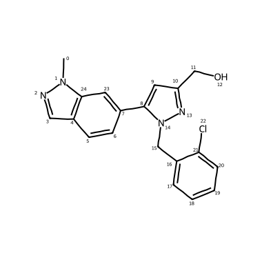 Cn1ncc2ccc(-c3cc(CO)nn3Cc3ccccc3Cl)cc21